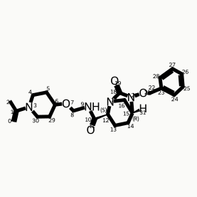 C=C(C)N1CCC(OCNC(=O)[C@@H]2CC[C@@H]3CN2C(=O)N3OCc2ccccc2)CC1